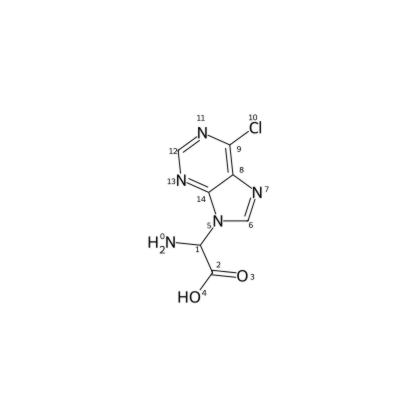 NC(C(=O)O)n1cnc2c(Cl)ncnc21